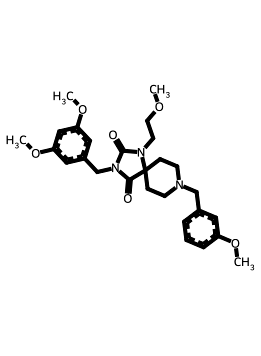 COCCN1C(=O)N(Cc2cc(OC)cc(OC)c2)C(=O)C12CCN(Cc1cccc(OC)c1)CC2